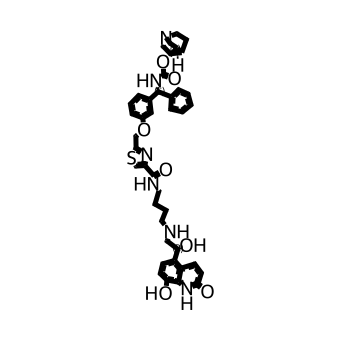 O=C(N[C@@H](c1ccccc1)c1cccc(OCc2nc(C(=O)NCCCCNC[C@H](O)c3ccc(O)c4[nH]c(=O)ccc34)cs2)c1)O[C@H]1CN2CCC1CC2